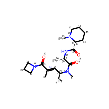 C/C(=C\[C@H](C(C)C)N(C)C(=O)[C@@H](NC(=O)[C@H]1CCCCN1C(C)C)C(C)C)C(=O)N1CCC1